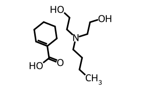 CCCCN(CCO)CCO.O=C(O)C1=CCCCC1